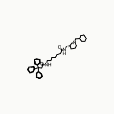 O=C(CCCCCCNC(=O)CC(c1ccccc1)(c1ccccc1)c1ccccc1)NC[C@H]1CCCN(CC2CCCCC2)C1